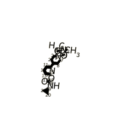 CN(C)S(=O)(=O)N1CC=C(c2cccc(OC(=O)NC3CC3)n2)CC1